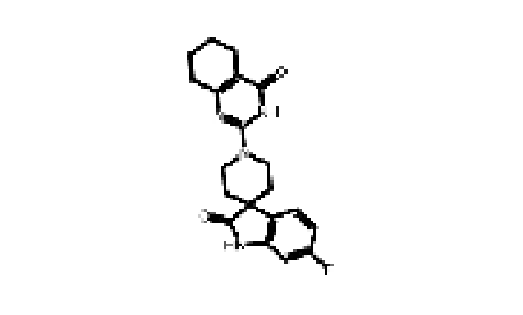 O=C1Nc2cc(F)ccc2C12CCN(c1nc3c(c(=O)[nH]1)CCCC3)CC2